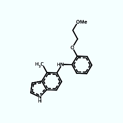 COCCOc1ccccc1Nc1ccc2[nH]ccc2c1C